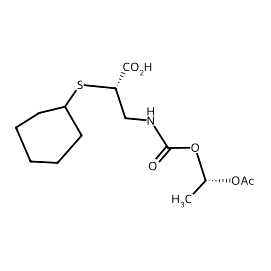 CC(=O)O[C@H](C)OC(=O)NC[C@H](SC1CCCCC1)C(=O)O